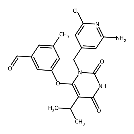 Cc1cc(C=O)cc(Oc2c(C(C)C)c(=O)[nH]c(=O)n2Cc2cc(N)nc(Cl)c2)c1